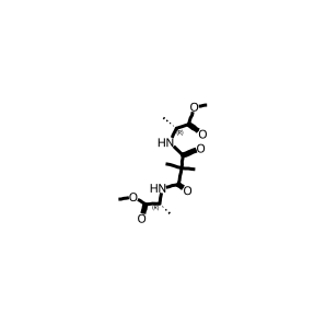 COC(=O)[C@@H](C)NC(=O)C(C)(C)C(=O)N[C@H](C)C(=O)OC